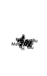 COC(=O)C(Nc1ccc2c(N(C(=O)OC(C)(C)C)C(=O)OC(C)(C)C)nccc2c1)c1ccc(OC(F)F)c(OC(F)F)c1